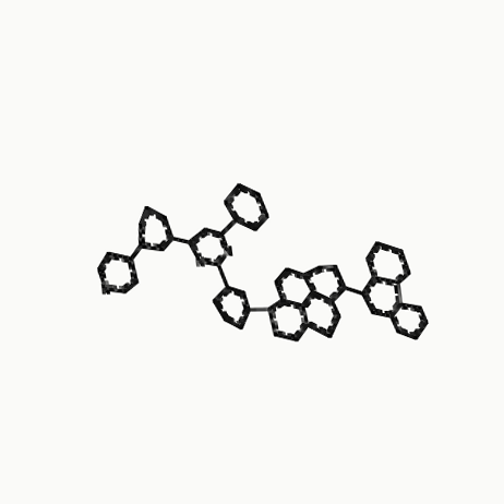 c1ccc(-c2cc(-c3cccc(-c4ccncc4)c3)nc(-c3cccc(-c4ccc5ccc6c(-c7cc8ccccc8c8ccccc78)ccc7ccc4c5c76)c3)n2)cc1